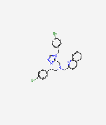 Brc1ccc(CCN(Cc2ccc3ccccc3n2)Cc2nncn2Cc2ccc(Br)cc2)cc1